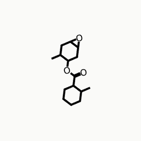 CC1CC2OC2CC1OC(=O)C1CCCCC1C